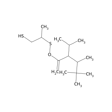 C=C(OSC(C)CS)C(C(C)C)C(C)C(C)(C)C